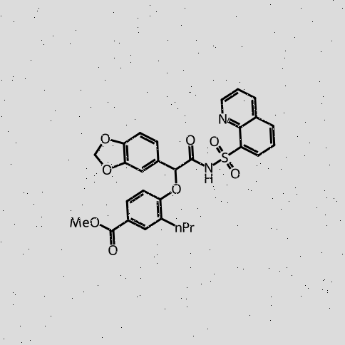 CCCc1cc(C(=O)OC)ccc1OC(C(=O)NS(=O)(=O)c1cccc2cccnc12)c1ccc2c(c1)OCO2